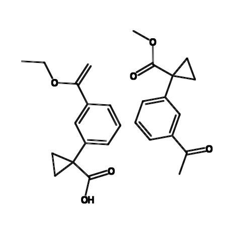 C=C(OCC)c1cccc(C2(C(=O)O)CC2)c1.COC(=O)C1(c2cccc(C(C)=O)c2)CC1